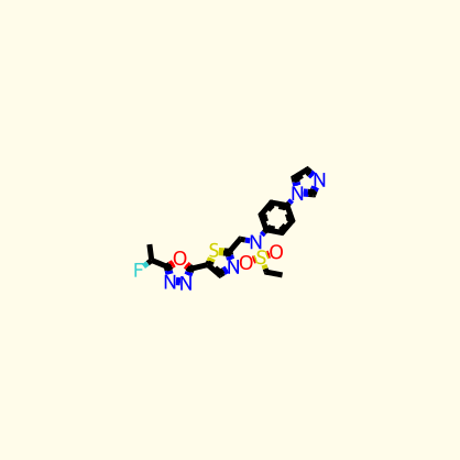 CCS(=O)(=O)N(Cc1ncc(-c2nnc(C(C)F)o2)s1)c1ccc(-n2ccnc2)cc1